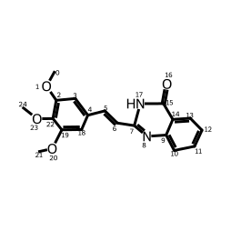 COc1cc(C=Cc2nc3ccccc3c(=O)[nH]2)cc(OC)c1OC